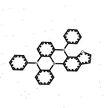 c1ccc(N2c3ccccc3B3c4ccc5ccoc5c4N(c4ccccc4)c4cccc2c43)cc1